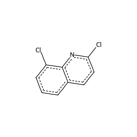 Clc1ccc2cccc(Cl)c2n1